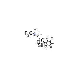 Cc1c(F)c(F)c(COC(=O)C2C(/C=C(\Cl)C(F)(F)F)C2(C)C)c(F)c1F.[SiH4]